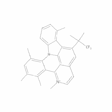 Cc1cc(C)c2c(c1C)c1c3c(cc[n+]1C)cc(C(C)(C)C(F)(F)F)c1c4c(C)cccc4n2c13